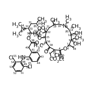 CCOC(=O)C[C@]1(C)C(=O)O[C@H](I)[C@@](C)(O)[C@H](O)[C@@H](C)N(C)C[C@H](C)C[C@@](C)(O)[C@H](O[C@@H]2O[C@H](C)C[C@H](N(C)C)[C@H]2OC(=O)Cc2ccccc2Nc2c(Cl)cccc2Cl)[C@@H](C)C1=O